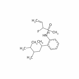 C=CC(F)[SH](C)(=O)Nc1ccccc1C(C)CC(C)C(C)C